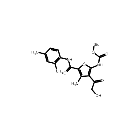 Cc1ccc(NC(=O)c2sc(NC(=O)OC(C)(C)C)c(C(=O)CO)c2C)c(C)c1